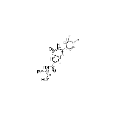 Cc1ccc(-c2cn3cc(C(=O)N[C@H](CO)C(C)C)nc3c(=O)[nH]2)cc1C